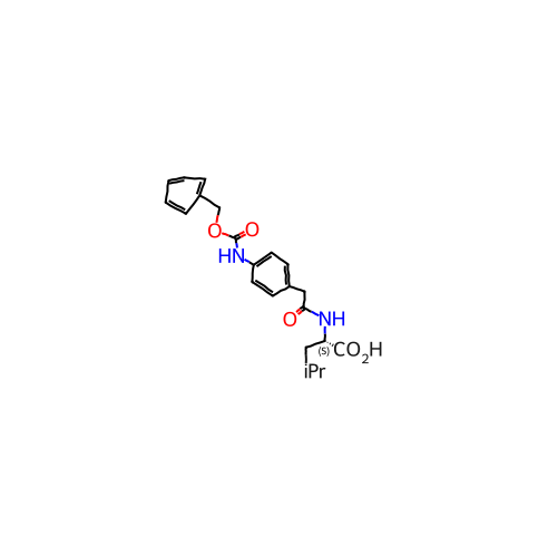 CC(C)C[C@H](NC(=O)Cc1ccc(NC(=O)OCc2ccccc2)cc1)C(=O)O